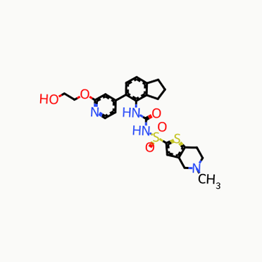 CN1CCc2sc(S(=O)(=O)NC(=O)Nc3c(-c4ccnc(OCCO)c4)ccc4c3CCC4)cc2C1